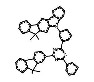 CC1(C)c2ccccc2-c2ccc(-c3nc(-c4ccccc4)nc(-c4cccc(-n5c6ccccc6c6cc7c(cc65)C(C)(C)c5ccccc5-7)c4)n3)cc21